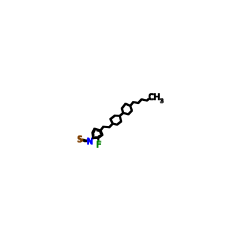 CCCCCC1CCC(C2CCC(CCc3ccc(N=C=S)c(F)c3)CC2)CC1